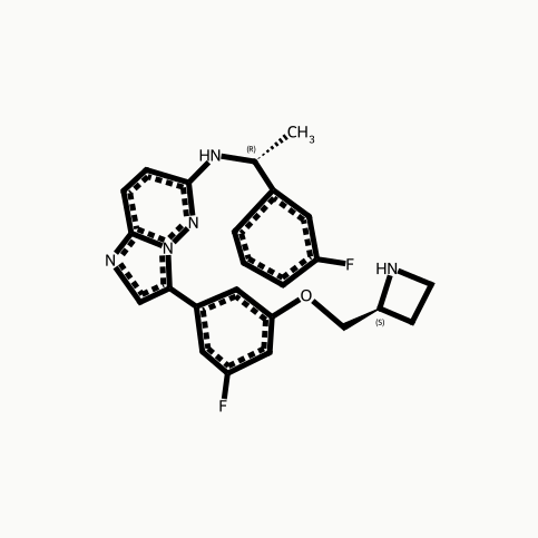 C[C@@H](Nc1ccc2ncc(-c3cc(F)cc(OC[C@@H]4CCN4)c3)n2n1)c1cccc(F)c1